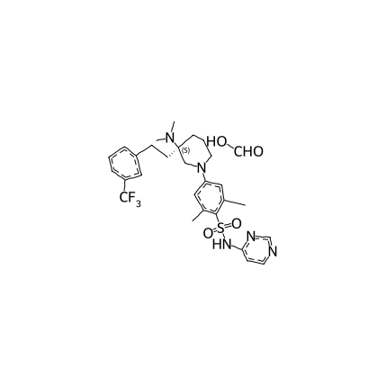 Cc1cc(N2CCC[C@](CCc3cccc(C(F)(F)F)c3)(N(C)C)C2)cc(C)c1S(=O)(=O)Nc1ccncn1.O=CO